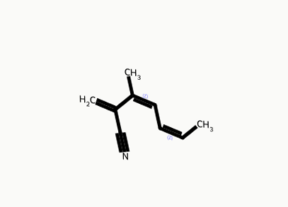 C=C(C#N)/C(C)=C\C=C/C